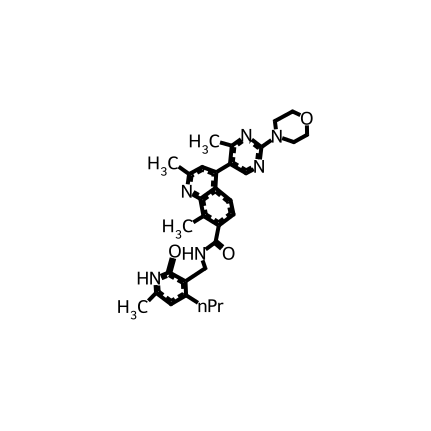 CCCc1cc(C)[nH]c(=O)c1CNC(=O)c1ccc2c(-c3cnc(N4CCOCC4)nc3C)cc(C)nc2c1C